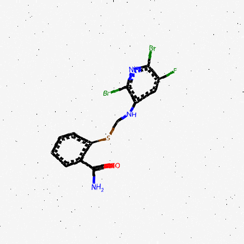 NC(=O)c1ccccc1SCNc1cc(F)c(Br)nc1Br